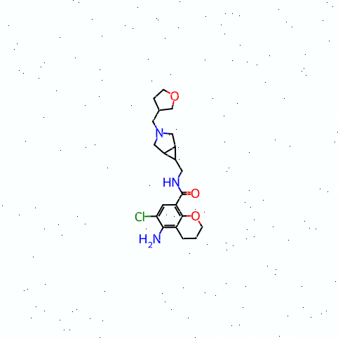 Nc1c(Cl)cc(C(=O)NCC2C3CN(CC4CCOC4)CC23)c2c1CCCO2